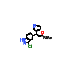 CNC(=O)C=C(c1cccnc1)c1ccc2[nH]nc(Cl)c2c1